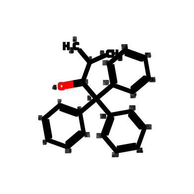 CC(C)C(=O)C(c1ccccc1)(c1ccccc1)c1ccccc1